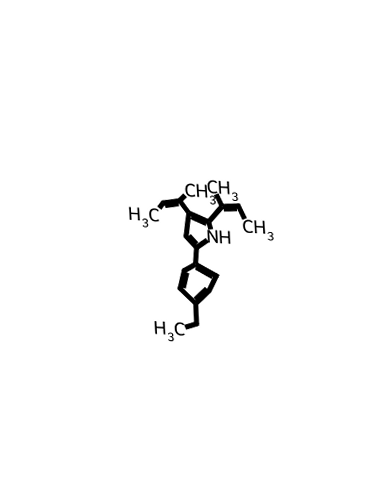 C/C=C(/C)c1cc(-c2ccc(CC)cc2)[nH]c1/C(C)=C\C